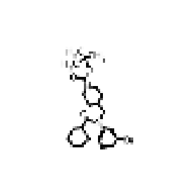 CC(C)(C)OC(=O)N1CCC(CN(C(=O)C2CCCCC2)c2cccc(Br)c2)CC1